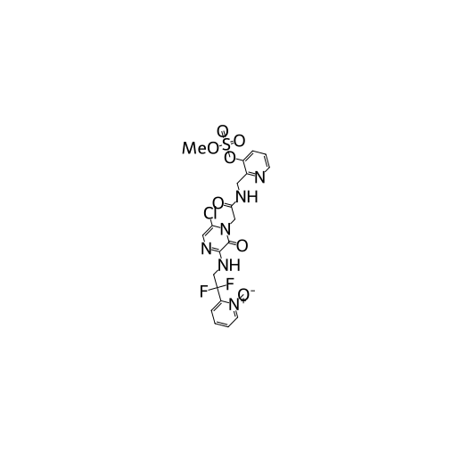 COS(=O)(=O)Oc1cccnc1CNC(=O)Cn1c(Cl)cnc(NCC(F)(F)c2cccc[n+]2[O-])c1=O